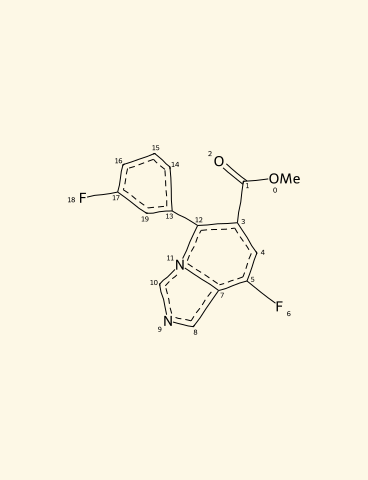 COC(=O)c1cc(F)c2cncn2c1-c1cccc(F)c1